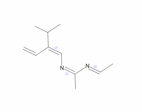 C=C\C(=C/N=C(C)\N=C\C)C(C)C